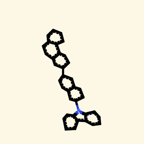 c1ccc2c(c1)ccc1cc(-c3ccc4cc(-n5c6ccccc6c6ccccc65)ccc4c3)ccc12